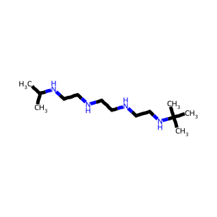 CC(C)NCCNCCNCCNC(C)(C)C